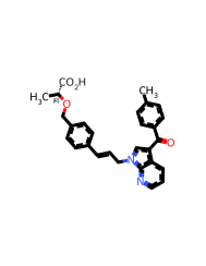 Cc1ccc(C(=O)c2cn(CC=Cc3ccc(CO[C@H](C)C(=O)O)cc3)c3ncccc23)cc1